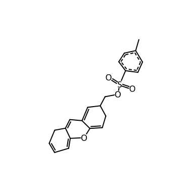 Cc1ccc(S(=O)(=O)OCC2C=C3C=C4CC=CC=C4OC3=CC2)cc1